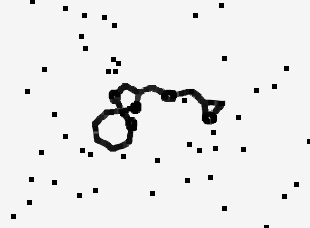 C1CCOC2(CC1)OCC(COCC1CO1)O2